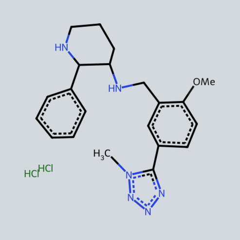 COc1ccc(-c2nnnn2C)cc1CNC1CCCNC1c1ccccc1.Cl.Cl